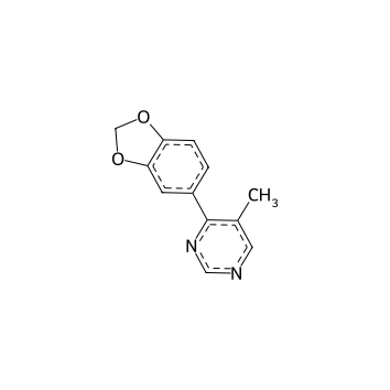 Cc1cncnc1-c1ccc2c(c1)OCO2